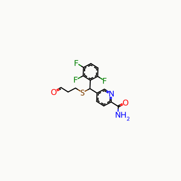 NC(=O)c1ccc(C(SCCC=O)c2c(F)ccc(F)c2F)cn1